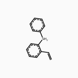 C=Cc1ccccc1[SiH2]c1ccccc1